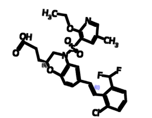 CCOc1ncc(C)cc1S(=O)(=O)N1C[C@H](CCC(=O)O)Oc2ccc(/C=C/c3c(Cl)cccc3C(F)F)cc21